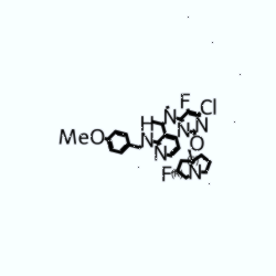 COc1ccc(CNc2ncccc2C(C)N(C)c2nc(OC[C@@]34CCCN3C[C@H](F)C4)nc(Cl)c2F)cc1